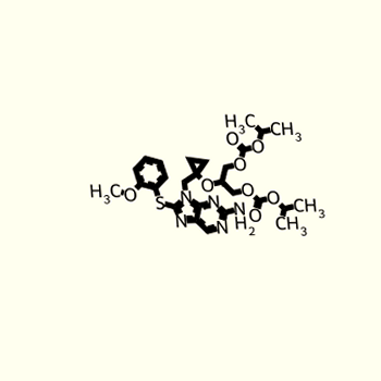 COc1ccccc1Sc1nc2cnc(N)nc2n1CC1(O[C](COC(=O)OC(C)C)COC(=O)OC(C)C)CC1